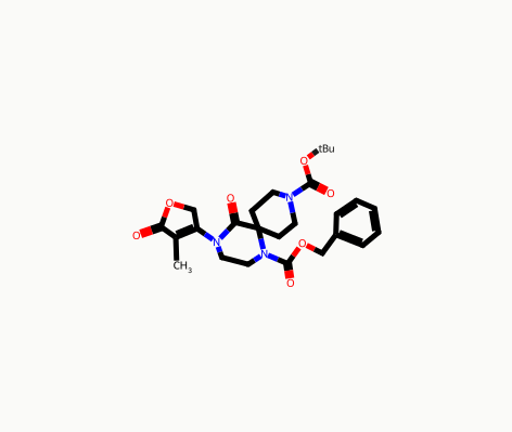 CC1=C(N2CCN(C(=O)OCc3ccccc3)C3(CCN(C(=O)OC(C)(C)C)CC3)C2=O)COC1=O